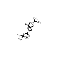 CC(C)N1CC2(F)C3N(C(=O)OC(C)(C)C)CC32C1